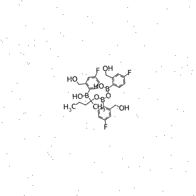 CCCC(C)(OB(OB(O)c1ccc(F)cc1CO)c1ccc(F)cc1CO)B(O)c1ccc(F)cc1CO